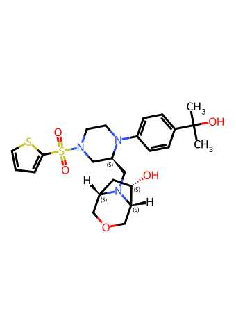 CC(C)(O)c1ccc(N2CCN(S(=O)(=O)c3cccs3)C[C@@H]2CN2[C@@H]3COC[C@H]2[C@@H](O)C3)cc1